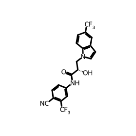 N#Cc1ccc(NC(=O)[C@@H](O)Cn2ccc3cc(C(F)(F)F)ccc32)cc1C(F)(F)F